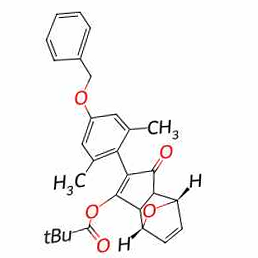 Cc1cc(OCc2ccccc2)cc(C)c1C1=C(OC(=O)C(C)(C)C)C2C(C1=O)[C@@H]1C=C[C@H]2O1